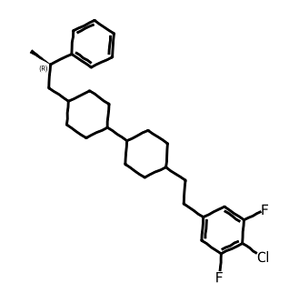 C[C@H](CC1CCC(C2CCC(CCc3cc(F)c(Cl)c(F)c3)CC2)CC1)c1ccccc1